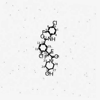 O=C(Nc1ccc(Cl)cc1F)c1ccc(Cl)c(C(F)(F)C(=O)N2CCC(O)CC2)c1